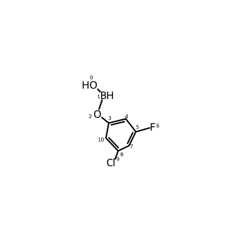 OBOc1cc(F)cc(Cl)c1